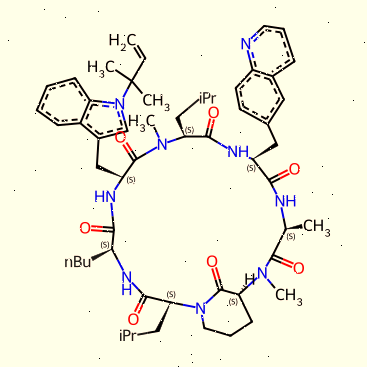 C=CC(C)(C)n1cc(C[C@@H]2NC(=O)[C@H](CCCC)NC(=O)[C@H](CC(C)C)N3CCC[C@@H](C3=O)N(C)C(=O)[C@H](C)NC(=O)[C@H](Cc3ccc4ncccc4c3)NC(=O)[C@H](CC(C)C)N(C)C2=O)c2ccccc21